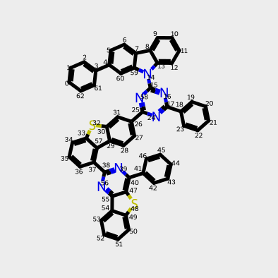 c1ccc(-c2ccc3c4ccccc4n(-c4nc(-c5ccccc5)nc(-c5ccc6c(c5)sc5cccc(-c7nc(-c8ccccc8)c8sc9ccccc9c8n7)c56)n4)c3c2)cc1